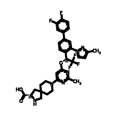 Cc1ccn(-c2cc(-c3ccc(F)c(F)c3)ccc2[C@@H](Oc2cc(N3CCC4(CC3)CN[C@H](C(=O)O)C4)nc(C)n2)C(F)(F)F)n1